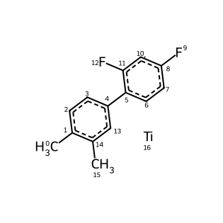 Cc1ccc(-c2ccc(F)[c]c2F)cc1C.[Ti]